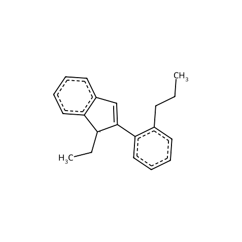 CCCc1ccccc1C1=Cc2ccccc2[C]1CC